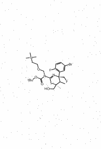 CC1[C@@](C)(CO)SC(N(COCC[Si](C)(C)C)C(=O)OC(C)(C)C)=N[C@]1(CF)c1cc(Br)ccc1F